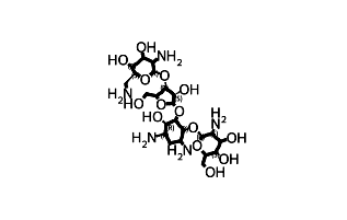 NC[C@@H]1O[C@H](O[C@H]2C(CO)OC(OC3[C@H](O[C@@H]4OC(CO)[C@@H](O)C(O)[C@@H]4N)C(N)C[C@@H](N)[C@H]3O)[C@H]2O)C(N)C(O)[C@@H]1O